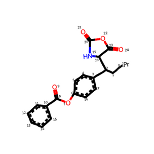 CC(C)CC(c1ccc(OC(=O)c2ccccc2)cc1)C1NC(=O)OC1=O